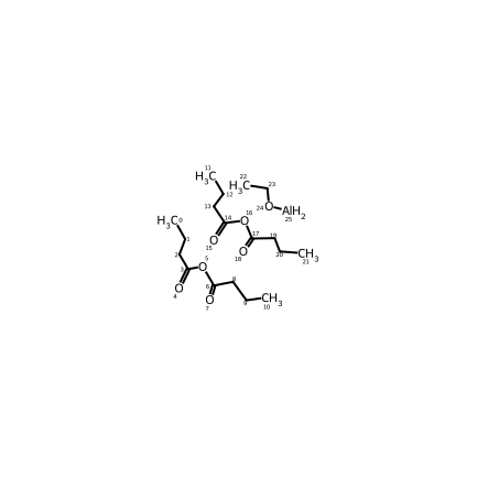 CCCC(=O)OC(=O)CCC.CCCC(=O)OC(=O)CCC.CC[O][AlH2]